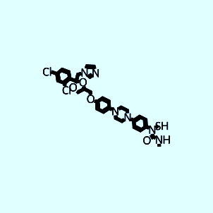 CNC(=O)N(S)c1ccc(N2CCN(c3ccc(OCC4COC(Cn5ccnc5)(c5ccc(Cl)cc5Cl)O4)cc3)CC2)cc1